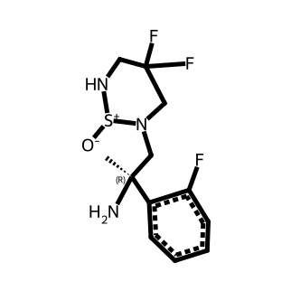 C[C@](N)(CN1CC(F)(F)CN[S+]1[O-])c1ccccc1F